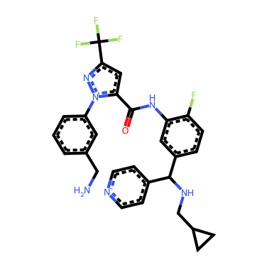 NCc1cccc(-n2nc(C(F)(F)F)cc2C(=O)Nc2cc(C(NCC3CC3)c3ccncc3)ccc2F)c1